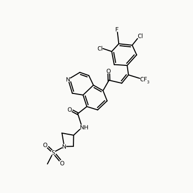 CS(=O)(=O)N1CC(NC(=O)c2ccc(C(=O)C=C(c3cc(Cl)c(F)c(Cl)c3)C(F)(F)F)c3ccncc23)C1